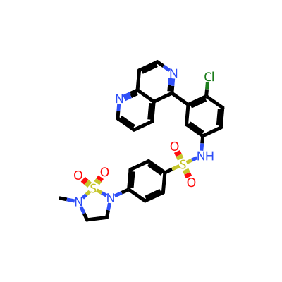 CN1CCN(c2ccc(S(=O)(=O)Nc3ccc(Cl)c(-c4nccc5ncccc45)c3)cc2)S1(=O)=O